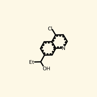 CCC(O)c1ccc2c(Cl)ccnc2c1